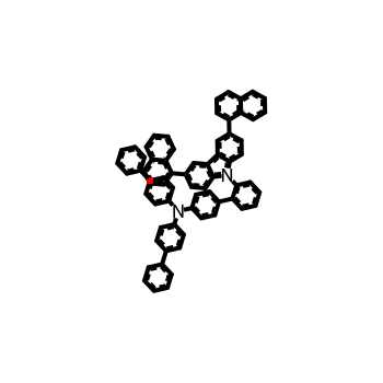 c1ccc(-c2ccc(N(c3ccc(-c4ccccc4)cc3)c3ccc(-c4ccccc4-n4c5ccc(-c6cccc7ccccc67)cc5c5cc(-c6cccc7ccccc67)ccc54)cc3)cc2)cc1